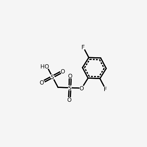 O=S(=O)(O)CS(=O)(=O)Oc1cc(F)ccc1F